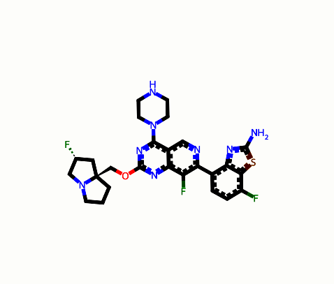 Nc1nc2c(-c3ncc4c(N5CCNCC5)nc(OC[C@@]56CCCN5C[C@H](F)C6)nc4c3F)ccc(F)c2s1